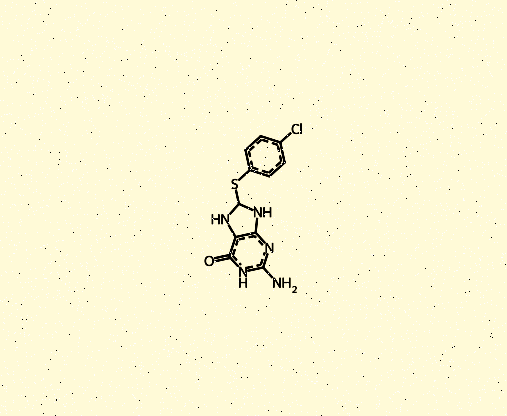 Nc1nc2c(c(=O)[nH]1)NC(Sc1ccc(Cl)cc1)N2